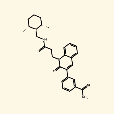 C[C@@H]1CCC[C@H](C)N1CNC(=O)CCn1c(=O)c(-c2cccc(C(=N)N)c2)cc2ccccc21